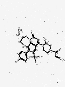 C=CC(=O)N1CCN(c2nc(=O)n3c4c(c(-c5ccc(F)cc5)c(C(F)(F)F)cc24)SC[C@H](OC)C3)[C@@H](C)C1